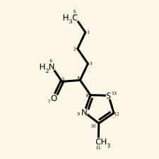 CCCCC(C(N)=O)c1nc(C)cs1